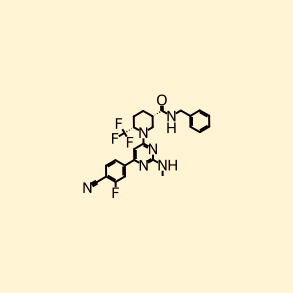 CNc1nc(-c2ccc(C#N)c(F)c2)cc(N2C[C@@H](C(=O)NCc3ccccc3)CC[C@H]2C(F)(F)F)n1